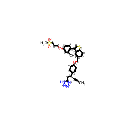 CC#C[C@@H](Cc1nnn[nH]1)c1ccc(OCc2ccc3scc(-c4ccc(OCCCS(C)(=O)=O)cc4C)c3c2)cc1